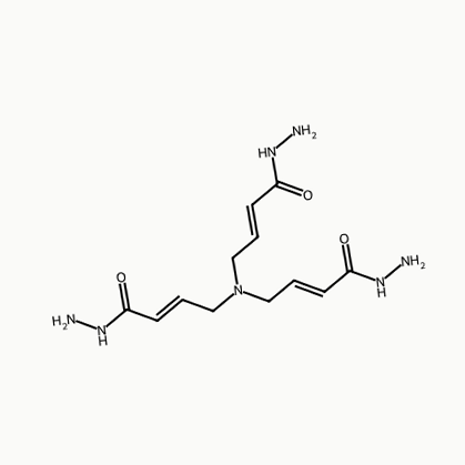 NNC(=O)C=CCN(CC=CC(=O)NN)CC=CC(=O)NN